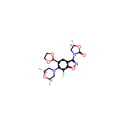 C[C@@H]1CN(c2c(C3OCCO3)cc3c(N4C[C@H](C)OC4=O)noc3c2F)C[C@H](C)O1